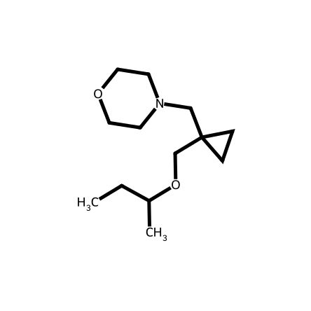 CCC(C)OCC1(CN2CCOCC2)CC1